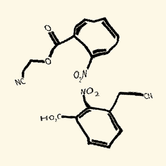 N#CCOC(=O)c1ccccc1[N+](=O)[O-].N#CCc1cccc(C(=O)O)c1[N+](=O)[O-]